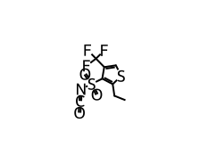 CCc1scc(C(F)(F)F)c1S(=O)(=O)N=C=O